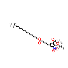 CCCCCCCCCCCCCCOC(=O)CCCCc1cc(C(C)=O)c(C(C)=O)c([N+](=O)[O-])c1